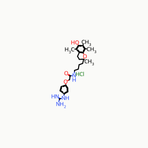 Cc1c(C)c2c(c(C)c1O)CCC(C)(CCCCNC(=O)COc1ccc(NC(=N)N)cc1)O2.Cl